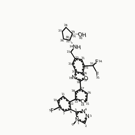 Cn1cnnc1-c1cc(F)ccc1-c1cccc(-c2nc3cc(CN[C@@H]4CCC[C@@H]4O)cc(C(F)F)c3o2)c1